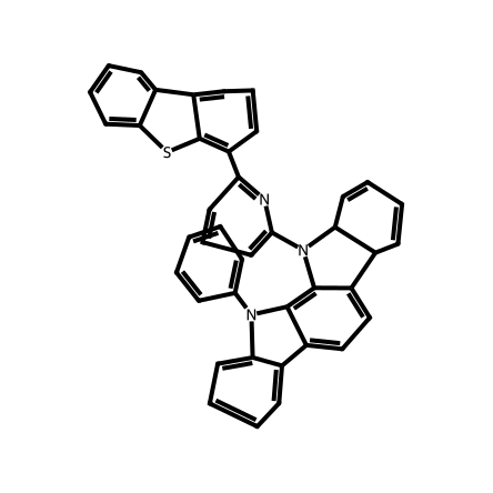 C1=CC2c3ccc4c5ccccc5n(-c5ccccc5)c4c3N(c3cccc(-c4cccc5c4sc4ccccc45)n3)C2C=C1